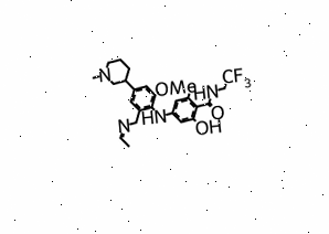 C/C=N\Cc1cc(C2CCCN(C)C2)ccc1Nc1cc(O)c(C(=O)NCC(F)(F)F)c(OC)c1